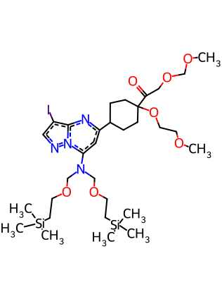 COCCOC1(C(=O)COCOC)CCC(c2cc(N(COCC[Si](C)(C)C)COCC[Si](C)(C)C)n3ncc(I)c3n2)CC1